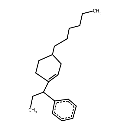 CCCCCCC1CC=C(C(CC)c2ccccc2)CC1